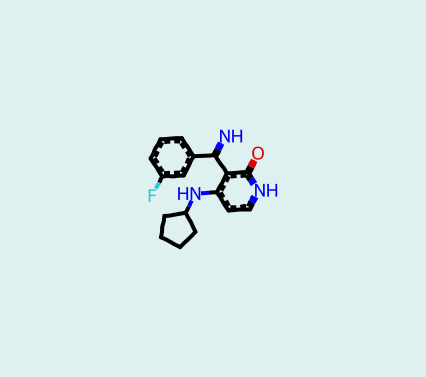 N=C(c1cccc(F)c1)c1c(NC2CCCC2)cc[nH]c1=O